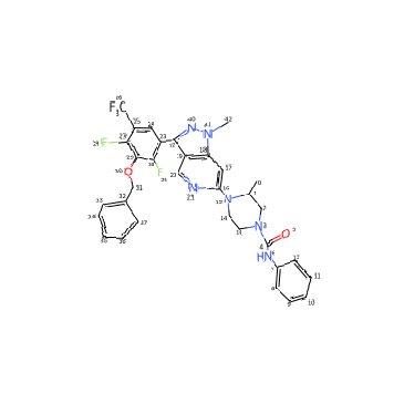 CC1CN(C(=O)Nc2ccccc2)CCN1c1cc2c(cn1)c(-c1cc(C(F)(F)F)c(F)c(OCc3ccccc3)c1F)nn2C